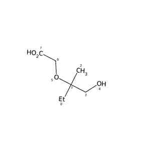 CCC(C)(CO)OCC(=O)O